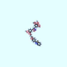 COc1ccc(-c2cc(-c3cc(OC)c(OC)c(OC)c3)no2)cc1OCCCOc1ccc(-c2nc3ccccc3s2)cc1